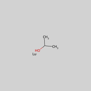 CC(C)O.[Lu]